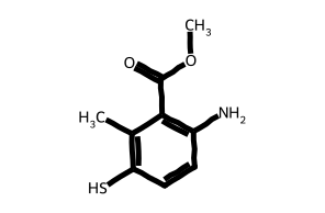 COC(=O)c1c(N)ccc(S)c1C